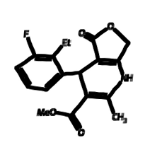 CCc1c(F)cccc1C1C(C(=O)OC)=C(C)NC2=C1C(=O)OC2